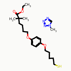 CCOC(=O)C(C)(C)CCCCOc1ccc(OCCCCCS)cc1.Cn1cnnn1